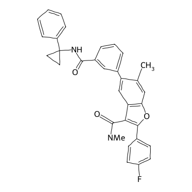 CNC(=O)c1c(-c2ccc(F)cc2)oc2cc(C)c(-c3cccc(C(=O)NC4(c5ccccc5)CC4)c3)cc12